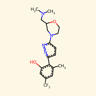 Cc1cc(C(F)(F)F)cc(O)c1-c1ccc(N2CCOC(CN(C)C)C2)nn1